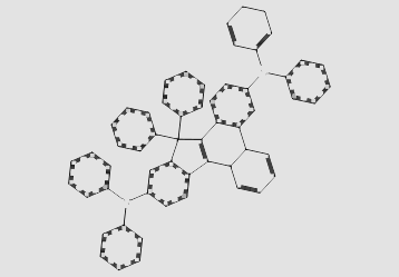 C1=CC2C3=C(c4ccc(N(C5=CCCC=C5)c5ccccc5)cc4C2C=C1)C(c1ccccc1)(c1ccccc1)c1cc(N(c2ccccc2)c2ccccc2)ccc13